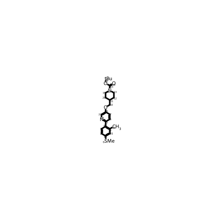 CSc1ccc(-c2ccc(OCC3CCN(C(=O)OC(C)(C)C)CC3)cn2)c(C)c1